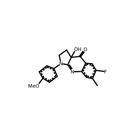 COc1ccc(N2CCC3(O)C(=O)c4cc(F)c(C)cc4N=C23)cc1